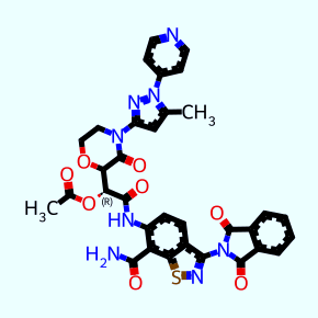 CC(=O)O[C@@H](C(=O)Nc1ccc2c(N3C(=O)c4ccccc4C3=O)nsc2c1C(N)=O)C1OCCN(c2cc(C)n(-c3ccncc3)n2)C1=O